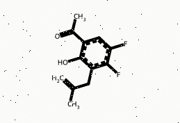 C=C(C)Cc1c(O)c(C(C)=O)cc(F)c1F